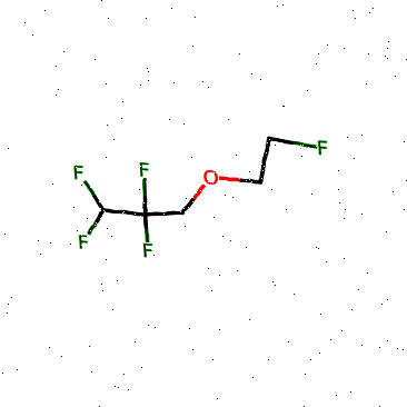 FCCOCC(F)(F)C(F)F